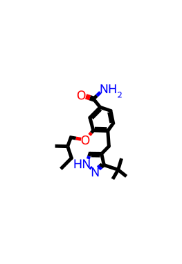 CCC(C)COc1cc(C(N)=O)ccc1Cc1c[nH]nc1C(C)(C)C